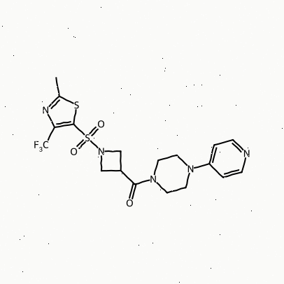 Cc1nc(C(F)(F)F)c(S(=O)(=O)N2CC(C(=O)N3CCN(c4ccncc4)CC3)C2)s1